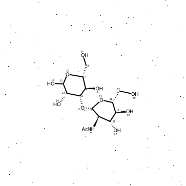 CC(=O)N[C@H]1[C@H](O[C@H]2[C@H](O)[C@@H](CO)OC(O)[C@H]2O)O[C@H](CO)[C@@H](O)[C@@H]1O